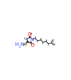 CC(C)CCCCCCN1C(=O)C[C@@H](SN)C1=O